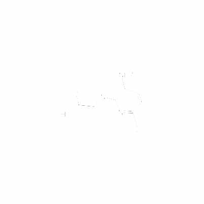 CC(=O)Nc1ccc(Br)nc1NCC(C)O